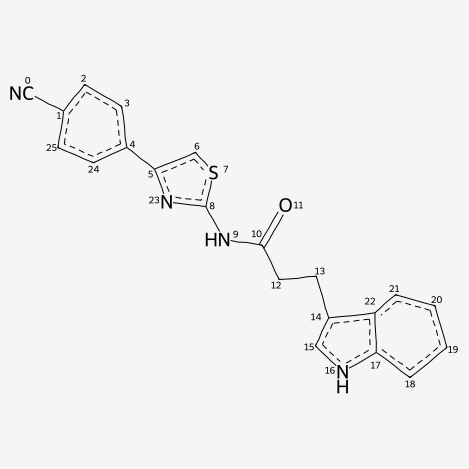 N#Cc1ccc(-c2csc(NC(=O)CCc3c[nH]c4ccccc34)n2)cc1